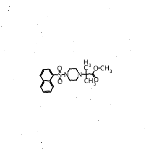 COC(=O)C(C)(C)N1CCN(S(=O)(=O)c2cccc3ccccc23)CC1